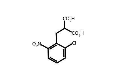 O=C(O)C(Cc1c(Cl)cccc1[N+](=O)[O-])C(=O)O